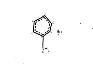 Nc1ccccc1.[Rn]